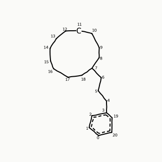 c1ccc(CCCC2CCCCCCCCCCC2)cc1